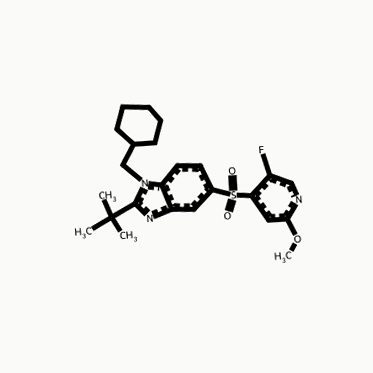 COc1cc(S(=O)(=O)c2ccc3c(c2)nc(C(C)(C)C)n3CC2CCCCC2)c(F)cn1